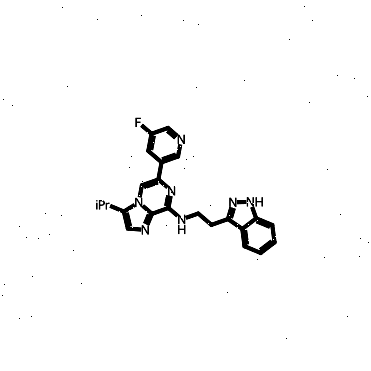 CC(C)c1cnc2c(NCCc3n[nH]c4ccccc34)nc(-c3cncc(F)c3)cn12